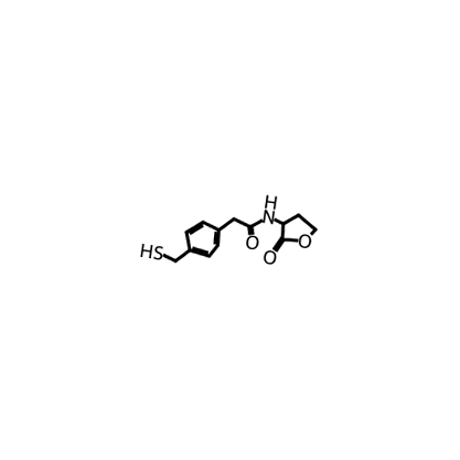 O=C(Cc1ccc(CS)cc1)NC1CCOC1=O